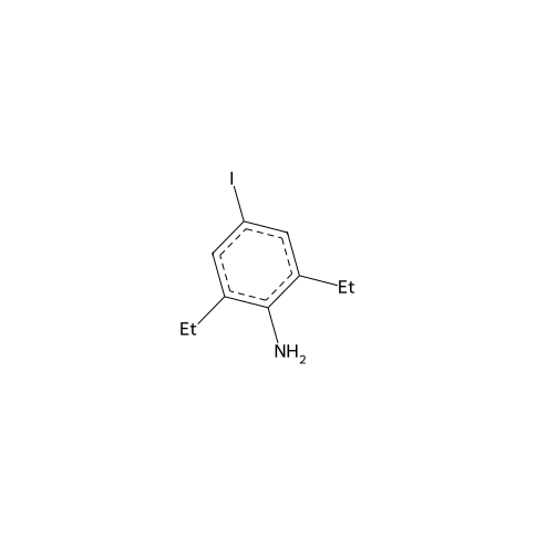 CCc1cc(I)cc(CC)c1N